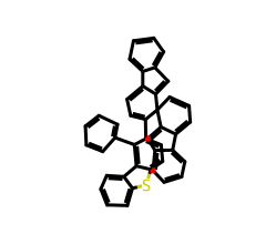 C1=CC2(C3=Cc4ccccc4C3=C1)C1=Cc3ccccc3C1=CC=C2c1ccc2sc3ccccc3c2c1-c1ccccc1